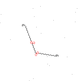 CC(C)CCCCCCCCCCCCCOC(=O)CCCCCCCC(=O)OCCCCCCCCCCCCCC(C)C